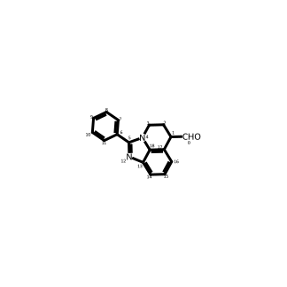 O=CC1CCn2c(-c3ccccc3)nc3cccc1c32